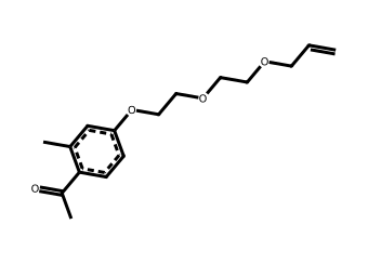 C=CCOCCOCCOc1ccc(C(C)=O)c(C)c1